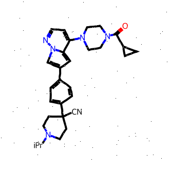 CC(C)N1CCC(C#N)(c2ccc(-c3cc4c(N5CCN(C(=O)C6CC6)CC5)ccnn4c3)cc2)CC1